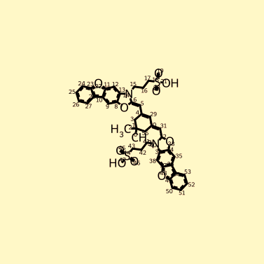 CC1(C)CC(C=C2Oc3cc4c(cc3N2CCCS(=O)(=O)O)oc2ccccc24)=CC(=CC2Oc3cc4c(cc3N2CCCS(=O)(=O)O)oc2ccccc24)C1